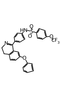 O=S(=O)(Nc1ccc(C2=NCCc3ccc(Oc4ccccc4)cc32)cc1)c1ccc(OC(F)(F)F)cc1